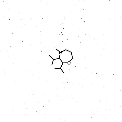 CC(C)C1OCCCN(C)C1C(C)C